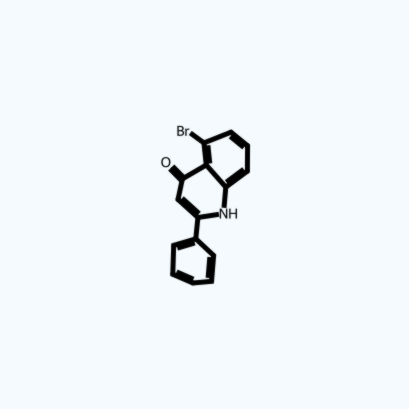 O=c1cc(-c2ccccc2)[nH]c2cccc(Br)c12